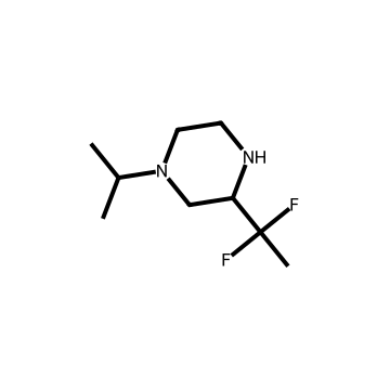 CC(C)N1CCNC(C(C)(F)F)C1